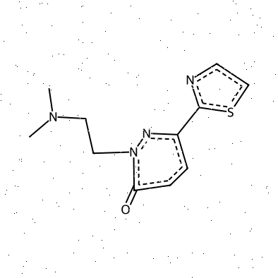 CN(C)CCn1nc(-c2nccs2)ccc1=O